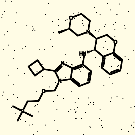 C[C@@H]1CN([C@H]2COc3ccccc3[C@@H]2Nc2cccc3c2nc(C2CCC2)n3COCC[Si](C)(C)C)CCO1